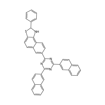 c1ccc(C2Nc3c(ccc4cc(-c5nc(-c6ccc7ccccc7c6)nc(-c6ccc7ccccc7c6)n5)ccc34)S2)cc1